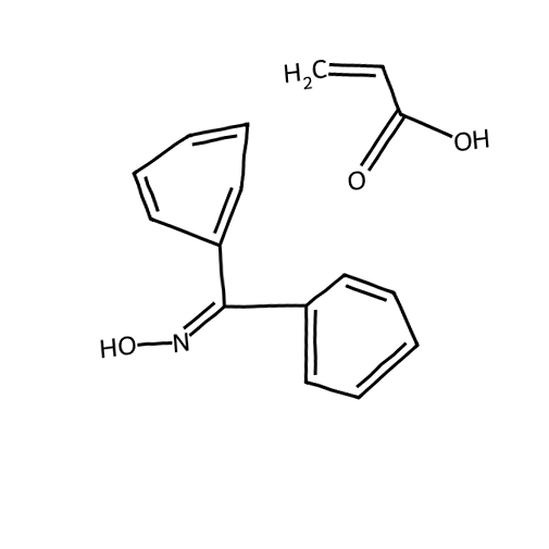 C=CC(=O)O.ON=C(c1ccccc1)c1ccccc1